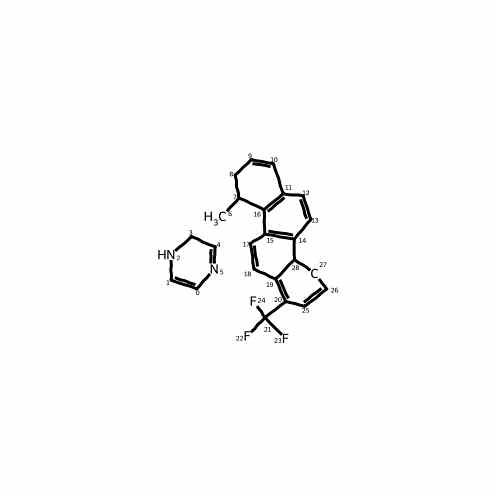 C1=CNCC=N1.CC1CC=Cc2ccc3c(c21)C=CC1=C(C(F)(F)F)C=CCC13